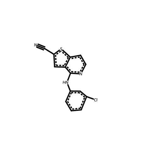 N#Cc1cc2c(Nc3cccc(Cl)c3)nccc2s1